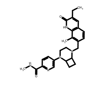 CCc1cc2ccc(CN3CCN(c4ccc(C(=O)NC)nc4)C4CCC43)c(C)c2[nH]c1=O